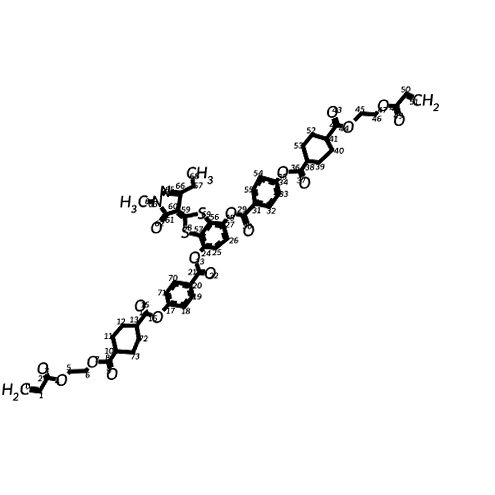 C=CC(=O)OCCOC(=O)C1CCC(C(=O)Oc2ccc(C(=O)Oc3ccc(OC(=O)c4ccc(OC(=O)C5CCC(C(=O)OCCOC(=O)C=C)CC5)cc4)c4c3SC(=C3C(=O)N(C)N=C3CC)S4)cc2)CC1